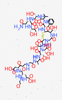 CC(=O)[C@H](CO)NC(=O)[C@H](CCC(N)=O)NC(=O)[C@H](CO)NC(=O)[C@@H](NC(=O)[C@H](Cc1ccccc1)NC1SSC(C(=O)[C@H](CC(=O)O)NC(=O)[C@H](CO)NC(=O)[C@H](CO)NC(=O)C(C)NC(=O)CNCCC(=O)[C@H](CC(=O)O)NC(=O)[C@H](CCC(=O)O)NNCC=O)N[C@@H](CO)C(=O)N[C@@H]([C@@H](C)O)C1=O)C(C)C